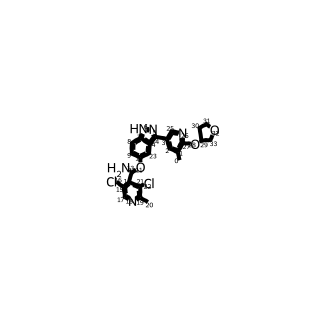 Cc1cc(-c2n[nH]c3ccc(O[C@H](N)c4c(Cl)cnc(C)c4Cl)cc23)cnc1O[C@H]1CCOC1